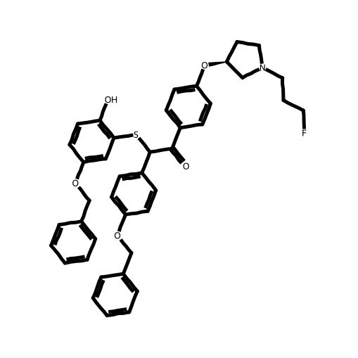 O=C(c1ccc(O[C@H]2CCN(CCCF)C2)cc1)C(Sc1cc(OCc2ccccc2)ccc1O)c1ccc(OCc2ccccc2)cc1